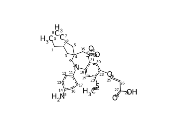 CCCCC1(CCCC)CN(c2ccc(N)cc2)c2cc(SC)c(OC=CC(=O)O)cc2S(=O)(=O)C1